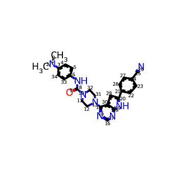 CN(C)c1ccc(NC(=O)N2CCN(c3ncnc4[nH]c(-c5ccc(C#N)cc5)cc34)CC2)cc1